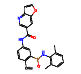 COc1ccc(NC(=O)c2cnc3ccoc3c2)cc1[S+]([O-])Nc1c(C)cccc1C